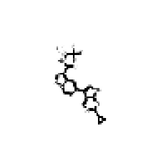 C[C@@H](NC(=O)c1cnn2ccc(-c3c[nH]c4nc(C5CC5)ncc34)cc12)C(F)(F)F